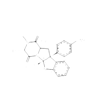 COc1ccc([C@]23C[C@]4(S)C(=O)N(C)[C@@H](S)C(=O)N4[C@H]2Nc2ccccc23)cc1